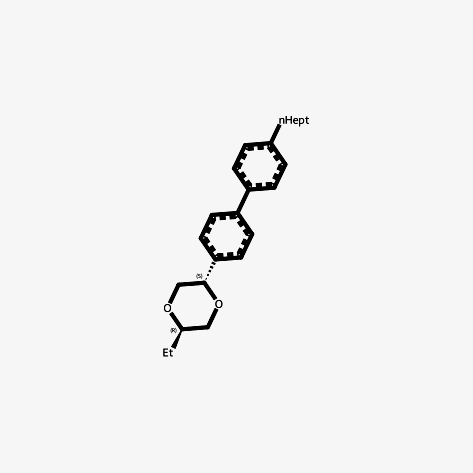 CCCCCCCc1ccc(-c2ccc([C@H]3CO[C@H](CC)CO3)cc2)cc1